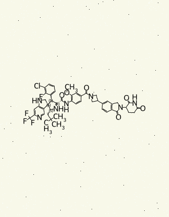 COc1cc(C(=O)N2CC(c3ccc4c(c3)CN(C3CCC(=O)NC3=O)C4=O)C2)ccc1NC(=O)[C@@H]1N[C@@H](CC(C)(C)C)[C@@]2(CNc3cc(C(F)(F)F)ncc32)[C@H]1c1cccc(Cl)c1F